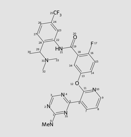 CNc1ncnc(-c2cccnc2Oc2ccc(F)c(C(=O)Nc3cc(C(F)(F)F)ccc3C(C)N(C)C)c2)n1